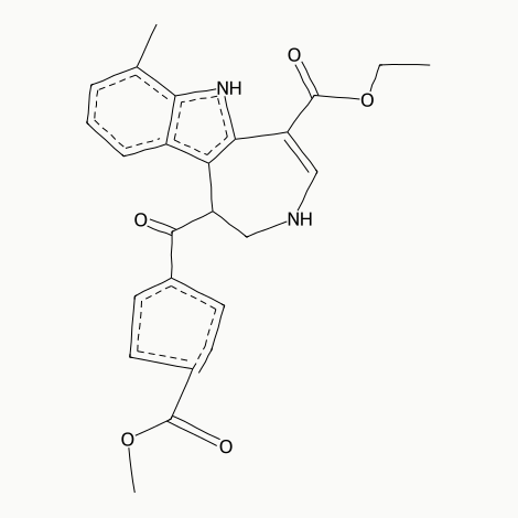 CCOC(=O)C1=CNCC(C(=O)c2ccc(C(=O)OC)cc2)c2c1[nH]c1c(C)cccc21